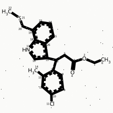 CCOC(=O)CC(c1ccc(Cl)cc1C)c1c[nH]c2c(CSC)cccc12